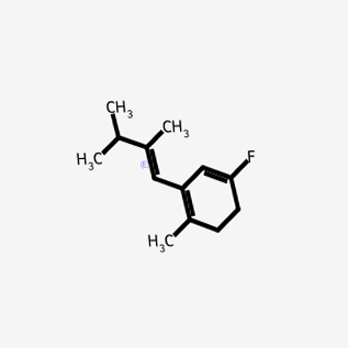 CC1=C(/C=C(\C)C(C)C)C=C(F)CC1